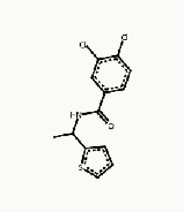 CC(NC(=O)c1ccc(Cl)c(Cl)c1)c1cccs1